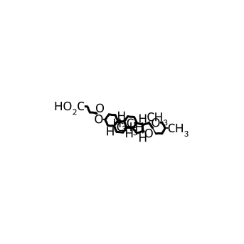 C[C@H]1CC[C@@]2(OC1)O[C@H]1C[C@H]3[C@@H]4CC[C@@H]5C[C@@H](OC(=O)CCC(=O)O)CC[C@]5(C)[C@H]4CC[C@]3(C)[C@H]1[C@@H]2C